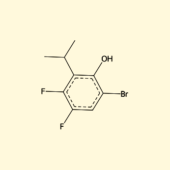 CC(C)c1c(O)c(Br)cc(F)c1F